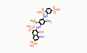 COc1cc(N=Nc2cc(S(=O)(=O)O)ccc2S(=O)(=O)O)c(C)cc1N=Nc1c(S(=O)(=O)O)cc2cc(S(=O)(=O)O)cc([NH])c2c1O